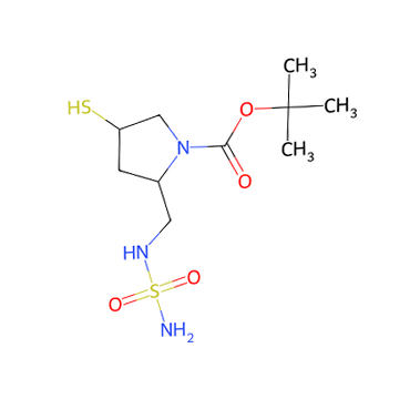 CC(C)(C)OC(=O)N1CC(S)CC1CNS(N)(=O)=O